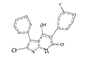 O=c1[nH]c2sc(Cl)c(-c3ccccc3)c2c(O)c1-c1cccc(F)c1